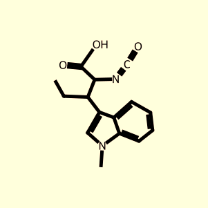 CCC(c1cn(C)c2ccccc12)C(N=C=O)C(=O)O